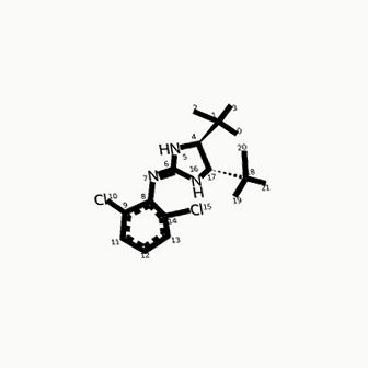 CC(C)(C)[C@@H]1NC(=Nc2c(Cl)cccc2Cl)N[C@H]1C(C)(C)C